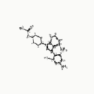 CC(C)C(=O)OC1CCC(n2cc(-c3ccc(N)cc3F)c3c(N)ncnc32)CC1